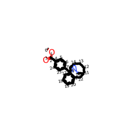 COC(=O)c1ccc(CN2CC3CCC2Cc2ccccc2C3)cc1